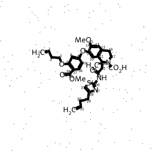 C=CCCOc1cc(Oc2cc3c(cc2OC)CCN(C(=O)O)[C@]3(C)CC(=O)Nc2nc(CCC=C)cs2)ccc1C(=O)OC